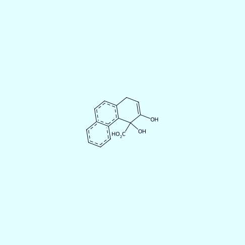 O=C(O)C1(O)C(O)=CCc2ccc3ccccc3c21